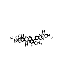 CNc1ncc2cc(-c3c(C)c(F)cc4c(Nc5ccc6c(c5)NC(=O)C6(C)C)nccc34)ccc2n1